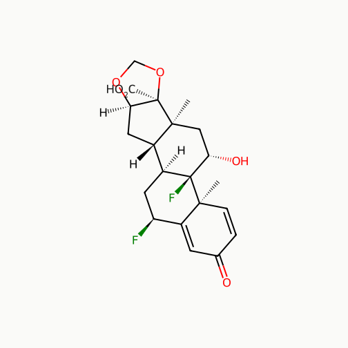 C[C@]12C=CC(=O)C=C1[C@@H](F)C[C@H]1[C@@H]3C[C@H]4OCO[C@@]4(C(=O)O)[C@@]3(C)C[C@H](O)[C@@]12F